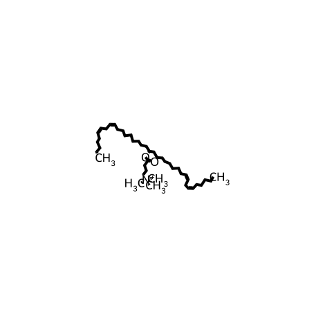 CCCCC/C=C\C/C=C\CCCCCCCCC(CCCCCCCC/C=C\C/C=C\CCCCC)OC(=O)CCC[N+](C)(C)C